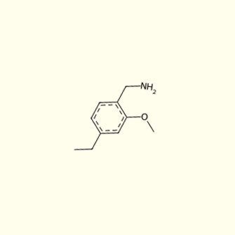 CCc1ccc(CN)c(OC)c1